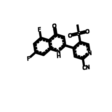 CS(=O)(=O)c1cnc(C#N)cc1-c1cc(=O)c2c(F)cc(F)cc2[nH]1